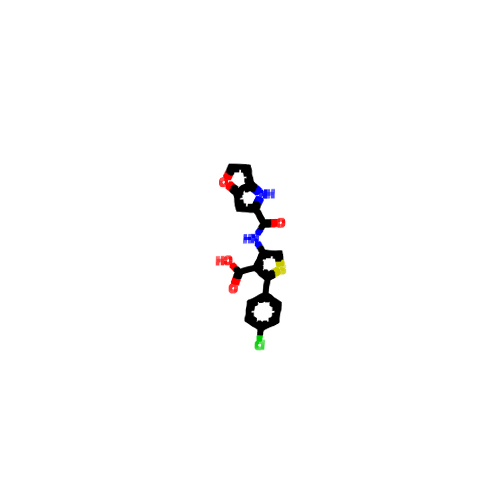 O=C(Nc1csc(-c2ccc(Cl)cc2)c1C(=O)O)c1cc2occc2[nH]1